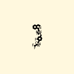 Fc1cc(Cn2nnc(-c3nccc4ccccc34)n2)ccc1-c1nnc(C(F)F)o1